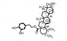 C[C@H]1[C@H](C)CC[C@]2(C(=O)OCCc3ccc(O)c(O)c3)CC[C@]3(C)C(=CC[C@@H]4[C@@]5(C)CC[C@H](O)C(C)(C)[C@@H]5CC[C@]43C)[C@H]12